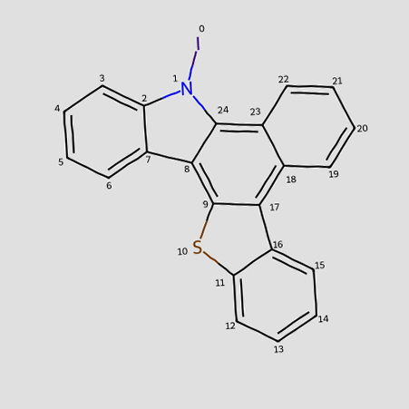 In1c2ccccc2c2c3sc4ccccc4c3c3ccccc3c21